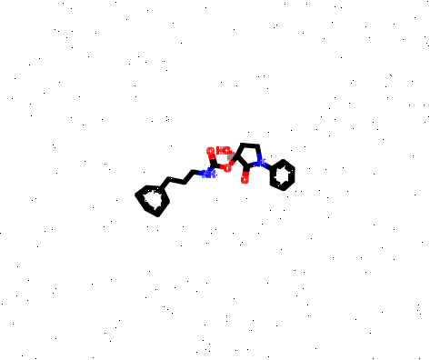 O=C(NCCCc1ccccc1)O[C@@]1(O)CCN(c2ccccc2)C1=O